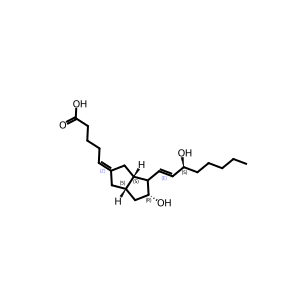 CCCCC[C@H](O)/C=C/C1[C@H](O)C[C@@H]2C/C(=C/CCCC(=O)O)C[C@H]12